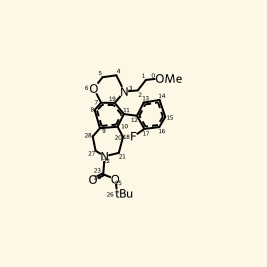 COCCN1CCOc2cc3c(c(-c4ccccc4F)c21)CCN(C(=O)OC(C)(C)C)CC3